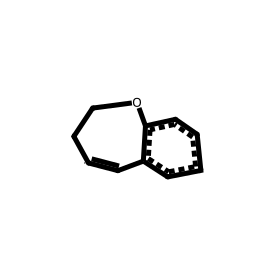 [C]1=Cc2ccccc2OCC1